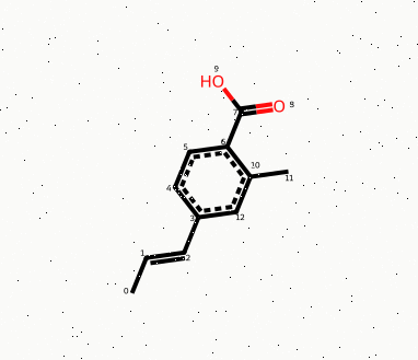 C/C=C/c1ccc(C(=O)O)c(C)c1